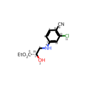 CCOC(=O)[C@@H](O)CNc1ccc(C#N)c(Cl)c1